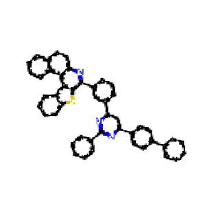 c1ccc(-c2ccc(-c3cc(-c4cccc(-c5nc6ccc7ccccc7c6c6c5sc5ccccc56)c4)nc(-c4ccccc4)n3)cc2)cc1